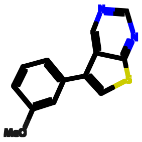 COc1cccc(-c2csc3ncncc23)c1